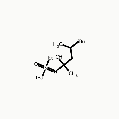 CCC(C)C(C)CC(C)(C)N=S(=O)(CC)C(C)(C)C